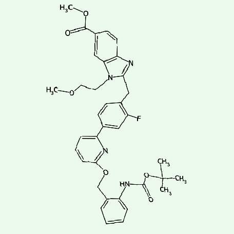 COCCn1c(Cc2ccc(-c3cccc(OCc4ccccc4NC(=O)OC(C)(C)C)n3)cc2F)nc2ccc(C(=O)OC)cc21